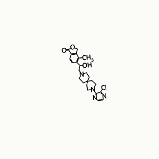 Cc1c(C(O)CN2CCC3(CC2)CCN(c2nccnc2Cl)CC3)ccc2c1COC2=O